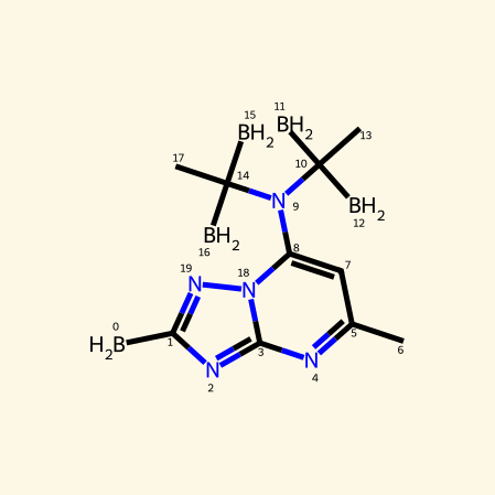 Bc1nc2nc(C)cc(N(C(B)(B)C)C(B)(B)C)n2n1